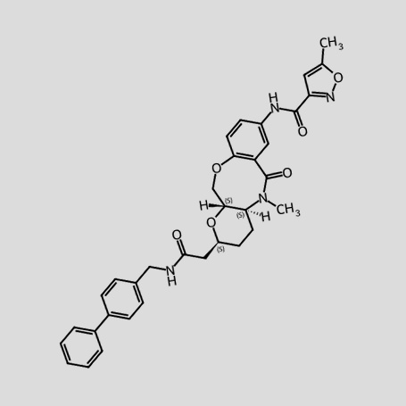 Cc1cc(C(=O)Nc2ccc3c(c2)C(=O)N(C)[C@H]2CC[C@@H](CC(=O)NCc4ccc(-c5ccccc5)cc4)O[C@@H]2CO3)no1